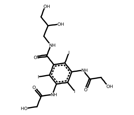 O=C(CO)Nc1c(I)c(NC(=O)CO)c(I)c(C(=O)NCC(O)CO)c1I